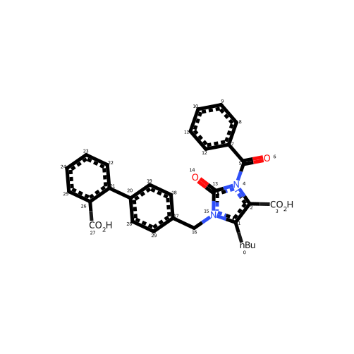 CCCCc1c(C(=O)O)n(C(=O)c2ccccc2)c(=O)n1Cc1ccc(-c2ccccc2C(=O)O)cc1